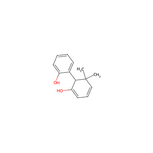 CC1(C)C=CC=C(O)C1c1ccccc1O